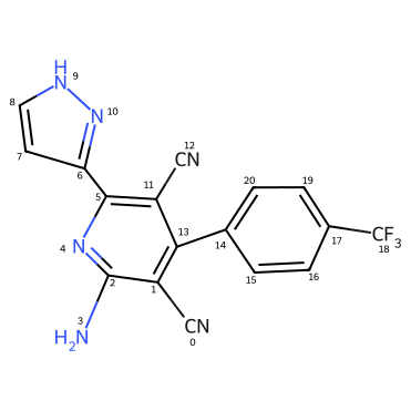 N#Cc1c(N)nc(-c2cc[nH]n2)c(C#N)c1-c1ccc(C(F)(F)F)cc1